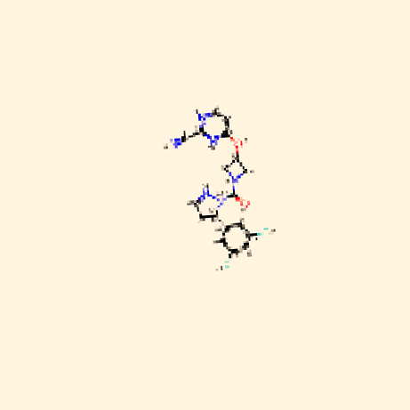 N#Cc1nccc(OC2CN(C(=O)N3N=CC[C@H]3c3cc(F)cc(F)c3)C2)n1